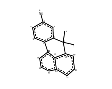 CC1(C)c2cc(Br)ccc2-c2cccc3cccc1c23